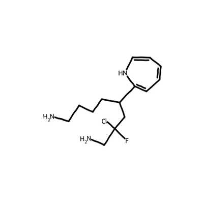 NCCCCC(CC(F)(Cl)CN)C1=CC=CC=CN1